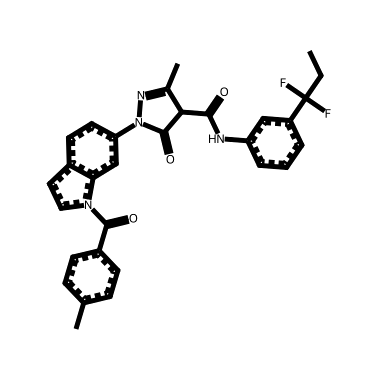 CCC(F)(F)c1cccc(NC(=O)C2C(=O)N(c3ccc4ccn(C(=O)c5ccc(C)cc5)c4c3)N=C2C)c1